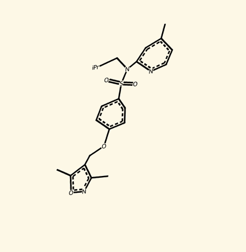 Cc1ccnc(N(CC(C)C)S(=O)(=O)c2ccc(OCc3c(C)noc3C)cc2)c1